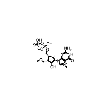 COC[C@H]1[C@@H](O)[C@H](n2c[n+](C)c3c(=O)[nH]c(N)nc32)O[C@@H]1COP(=O)(O)OP([O-])(O)=S